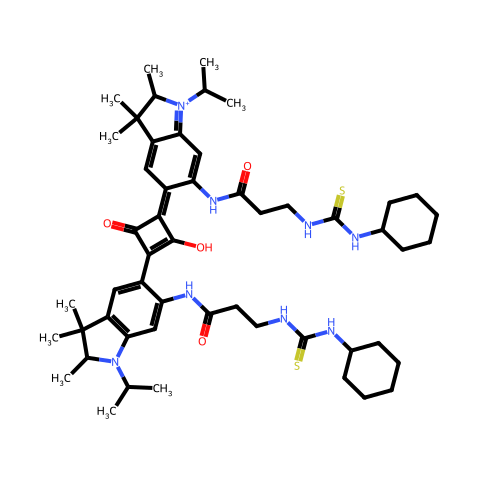 CC(C)N1c2cc(NC(=O)CCNC(=S)NC3CCCCC3)c(C3=C(O)/C(=c4/cc5c(cc4NC(=O)CCNC(=S)NC4CCCCC4)=[N+](C(C)C)C(C)C5(C)C)C3=O)cc2C(C)(C)C1C